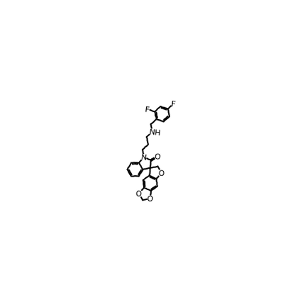 O=C1N(CCCNCc2ccc(F)cc2F)c2ccccc2C12COc1cc3c(cc12)OCO3